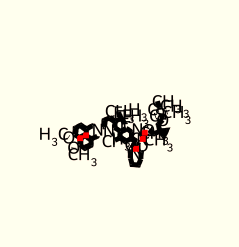 COc1ccc(CN(Cc2ccc(OC)cc2)c2cc(C)c(C(F)(F)F)c(-c3c(Cl)cc4c(N5CC6CCC(C5)N6C(=O)OC(C)(C)C)nc(OCC5(CO[Si](C)(C)C(C)(C)C)CC5)nc4c3F)n2)cc1